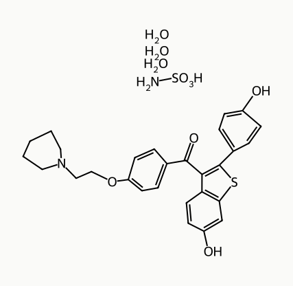 NS(=O)(=O)O.O.O.O.O=C(c1ccc(OCCN2CCCCC2)cc1)c1c(-c2ccc(O)cc2)sc2cc(O)ccc12